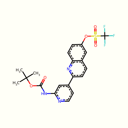 CC(C)(C)OC(=O)Nc1cc(-c2ccc3cc(OS(=O)(=O)C(F)(F)F)ccc3n2)ccn1